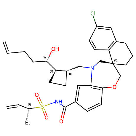 C=CCC[C@H](O)[C@@H]1CC[C@H]1CN1C[C@@]2(CCCc3cc(Cl)ccc32)COc2ccc(C(=O)NS(=O)(=O)[C@@H](C=C)CC)cc21